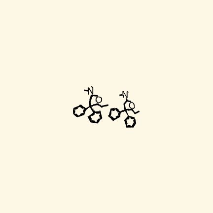 CCC(=O)C(CC(C)N(C)C)(c1ccccc1)c1ccccc1.CCC(=O)C(CC(C)N(C)C)(c1ccccc1)c1ccccc1